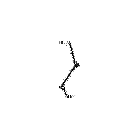 CCCCCCCCCCCCCCCCOC(=O)CCCCCCCCCCCCCCCCCN1CCN=C1CCCCCCCCCCCCCCCCC(=O)O